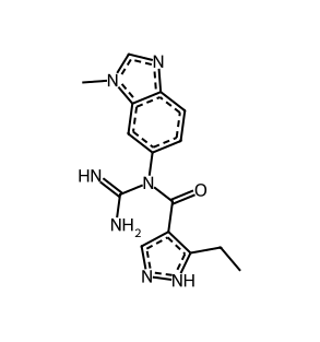 CCc1[nH]ncc1C(=O)N(C(=N)N)c1ccc2ncn(C)c2c1